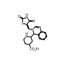 CCOC(=O)C1CCNC(C2c3ccccc3N=CN2C=C2SC(=O)NC2=O)C1